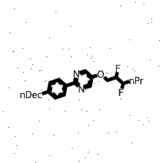 CCCCCCCCCCc1ccc(-c2ncc(OCC(F)C(F)CCC)cn2)cc1